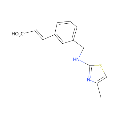 Cc1csc(NCc2cccc(C=CC(=O)O)c2)n1